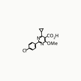 COc1nc(-c2ccc(Cl)cc2)nc(C2CC2)c1C(=O)O